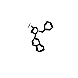 FC(F)(F)C1=CC(c2ccc3ccccc3c2)N(Cc2ccccc2)C1